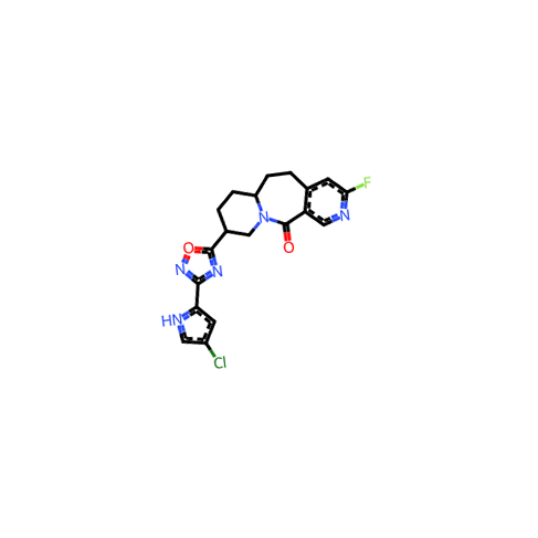 O=C1c2cnc(F)cc2CCC2CCC(c3nc(-c4cc(Cl)c[nH]4)no3)CN12